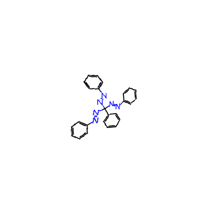 c1ccc(N=NC(N=Nc2ccccc2)(N=Nc2ccccc2)c2ccccc2)cc1